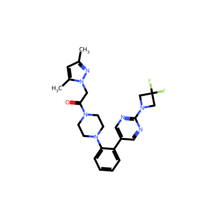 Cc1cc(C)n(CC(=O)N2CCN(c3ccccc3-c3cnc(N4CC(F)(F)C4)nc3)CC2)n1